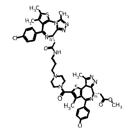 COC(=O)C[C@@H]1N=C(c2ccc(Cl)cc2)c2c(sc(C(=O)N3CCN(CCCNC(=O)C[C@@H]4N=C(c5ccc(Cl)cc5)c5c(sc(C)c5C)-n5c(C)nnc54)CC3)c2C)C2C(C)=NN=C21